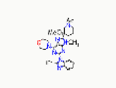 CO[C@]1(c2nc3c(N4CCOCC4)nc(-n4c(C(C)C)nc5ccccc54)nc3n2C)CCCN(C(C)=O)C1